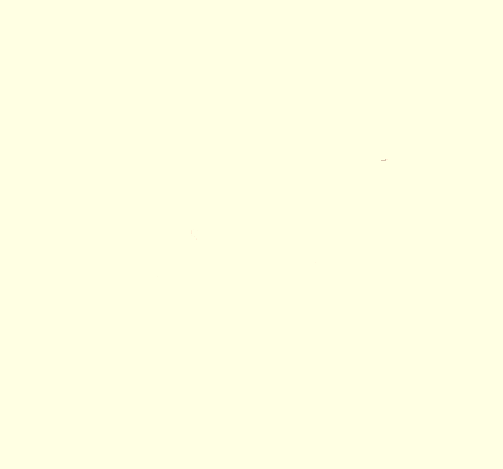 Cc1ccc(-c2ccc(F)cc2)s1